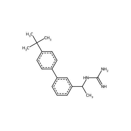 CC(NC(=N)N)c1cccc(-c2ccc(C(C)(C)C)cc2)c1